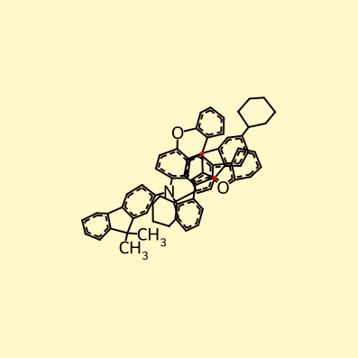 CC1(C)c2ccccc2-c2ccc(N(c3ccc4c(c3)C3(c5ccccc5O4)c4cc(C5CCCCC5)ccc4-c4ccc(C5CCCCC5)cc43)c3ccccc3-c3cccc4c3oc3ccccc34)cc21